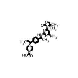 CCC(c1ccc(C(C)Nc2nc(N)cc(N3C(=O)OCC3(C)C)n2)cc1)N1CCN(C(=O)O)CC1